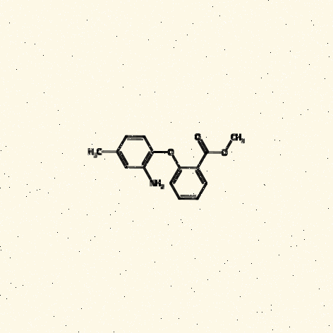 COC(=O)c1ccccc1Oc1ccc(C)cc1N